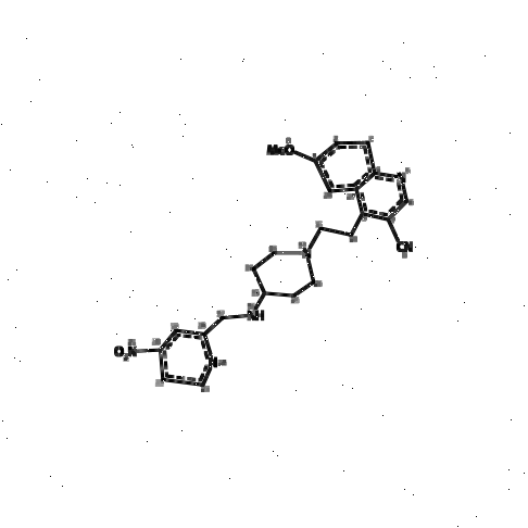 COc1ccc2ncc(C#N)c(CCN3CCC(NCc4cc([N+](=O)[O-])ccn4)CC3)c2c1